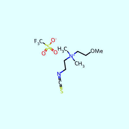 COCC[N+](C)(C)CCN=C=S.O=S(=O)([O-])C(F)(F)F